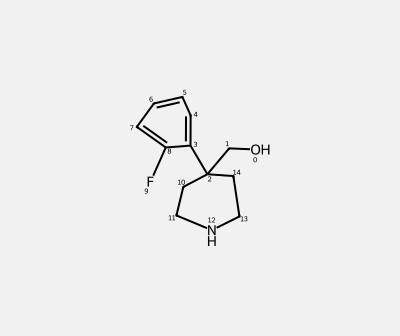 OCC1(c2ccccc2F)CCNCC1